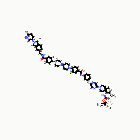 C[C@@H]1OCC2(CCN(c3cnc(Sc4cccc(NC(=O)c5ccc(N6CCC(N7CCN(c8ccc(C(=O)NCc9ccc%10c(c9)CN(C9CCC(=O)NC9=O)C%10=O)c(F)c8)CC7)CC6)c(F)c5)c4)cn3)CC2)[C@@H]1NC(=O)OC(C)(C)C